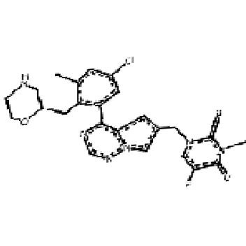 Cc1cc(Cl)cc(-c2ncnn3cc(Cn4cc(F)c(=O)n(C)c4=O)cc23)c1C[C@@H]1CNCCO1